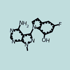 Cn1nc(-n2ccc3cc(F)cc(O)c32)c2c(N)ncnc21